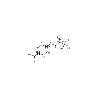 CC(C)N1CCN(CCC(=O)C(C)(C)C)CC1